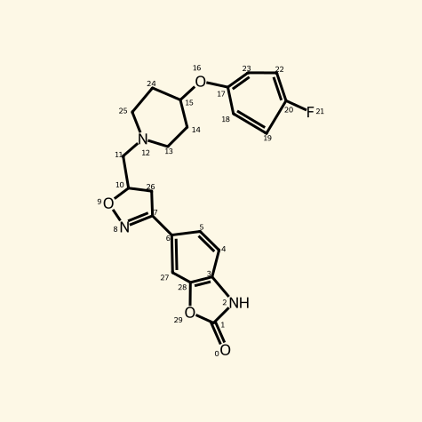 O=c1[nH]c2ccc(C3=NOC(CN4CCC(Oc5ccc(F)cc5)CC4)C3)cc2o1